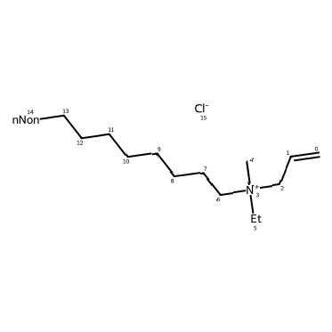 C=CC[N+](C)(CC)CCCCCCCCCCCCCCCCC.[Cl-]